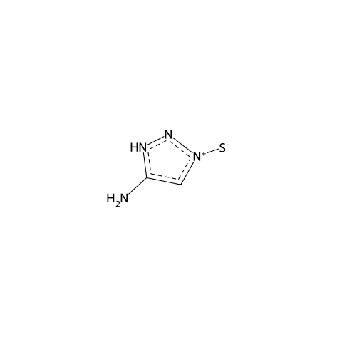 Nc1c[n+]([S-])n[nH]1